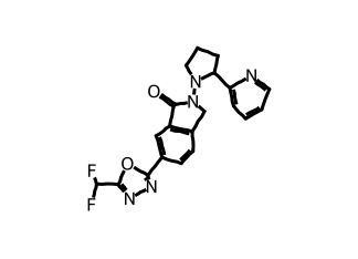 O=C1c2cc(-c3nnc(C(F)F)o3)ccc2CN1N1CCCC1c1ccccn1